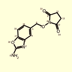 Nc1nc2cc(CON3C(=O)CCC3=O)ccc2o1